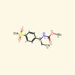 CCS(=O)(=O)c1ccc([C@H](CC#N)NC(=O)OC(C)(C)C)cc1